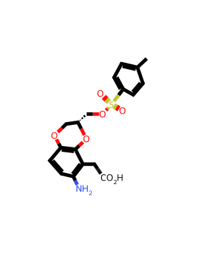 Cc1ccc(S(=O)(=O)OC[C@H]2COc3ccc(N)c(CC(=O)O)c3O2)cc1